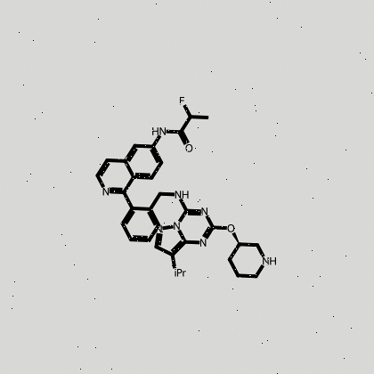 CC(F)C(=O)Nc1ccc2c(-c3ccccc3CNc3nc(O[C@@H]4CCCNC4)nc4c(C(C)C)cnn34)nccc2c1